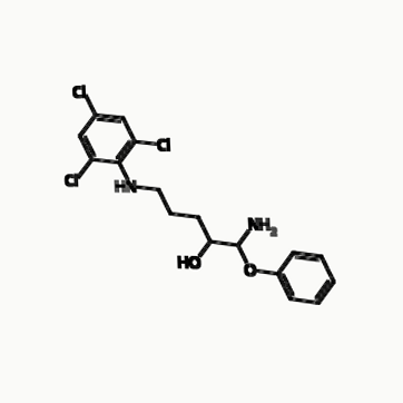 NC(Oc1ccccc1)C(O)CCCNc1c(Cl)cc(Cl)cc1Cl